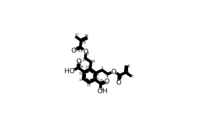 C=C(C)C(=O)OCCc1c(C(=O)O)ccc(C(=O)O)c1CCOC(=O)C(=C)C